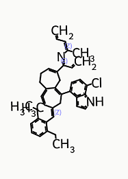 C=C/C=C(C)\N=C(/C=C)C1=CCCC2=C=C(C)/C(=C\c3c(CC)cccc3CC)CC(c3ccc(Cl)c4[nH]ccc34)=C2C1